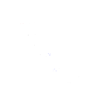 COC(=O)CCO/C=C/NCCNCCC(=O)O